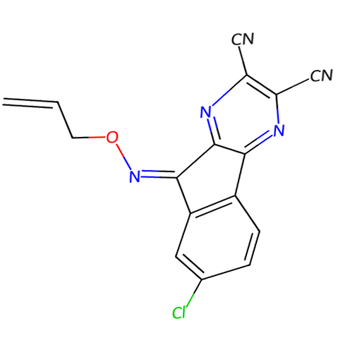 C=CCON=C1c2cc(Cl)ccc2-c2nc(C#N)c(C#N)nc21